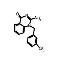 Nc1nc(=O)c2ccccc2n1Cc1cccc(C(F)(F)F)c1